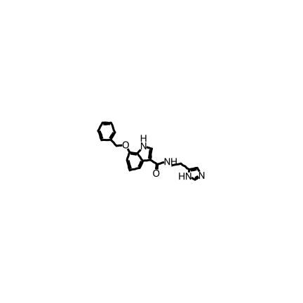 O=C(NCCc1cnc[nH]1)c1c[nH]c2c(OCc3ccccc3)cccc12